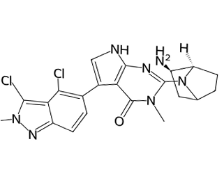 Cn1nc2ccc(-c3c[nH]c4nc(N5C6CC[C@@H]5[C@H](N)C6)n(C)c(=O)c34)c(Cl)c2c1Cl